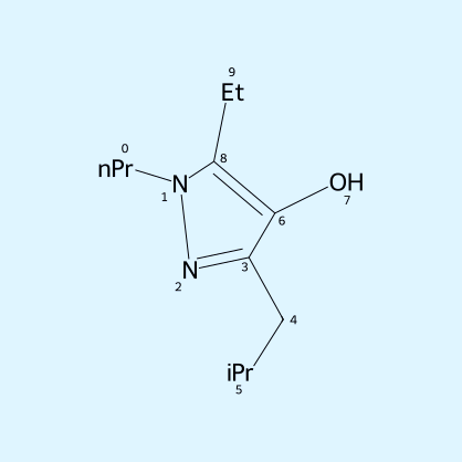 CCCn1nc(CC(C)C)c(O)c1CC